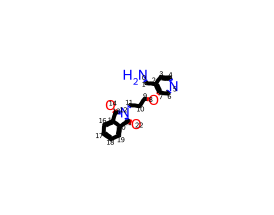 NCc1ccncc1OCCCN1C(=O)c2ccccc2C1=O